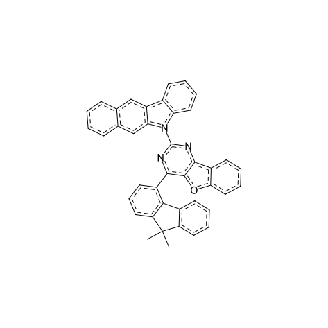 CC1(C)c2ccccc2-c2c(-c3nc(-n4c5ccccc5c5cc6ccccc6cc54)nc4c3oc3ccccc34)cccc21